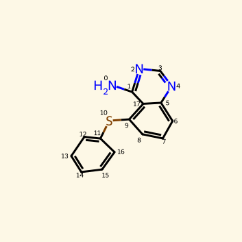 Nc1ncnc2cccc(Sc3ccccc3)c12